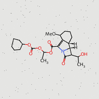 COC1CCC[C@H]2C1=C(C(=O)OC(C)OC(=O)OC1CCCCC1)N1C(=O)C(C(C)O)[C@@H]21